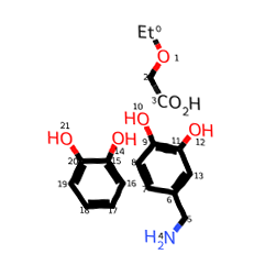 CCOCC(=O)O.NCc1ccc(O)c(O)c1.Oc1ccccc1O